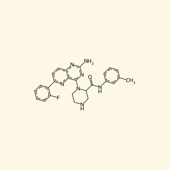 Cc1cccc(NC(=O)C2CNCCN2c2nc(N)nc3ccc(-c4ccccc4F)nc23)c1